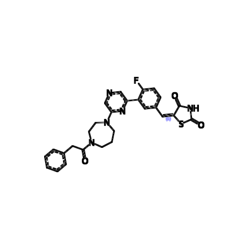 O=C1NC(=O)/C(=C\c2ccc(F)c(-c3cncc(N4CCCN(C(=O)Cc5ccccc5)CC4)n3)c2)S1